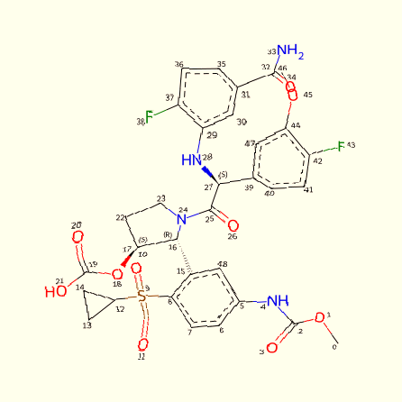 COC(=O)Nc1ccc(S(=O)(=O)C2CC2)c([C@@H]2[C@@H](OC(=O)O)CCN2C(=O)[C@@H](Nc2cc(C(N)=O)ccc2F)c2ccc(F)c(OC)c2)c1